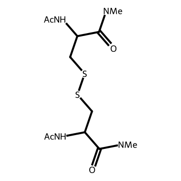 CNC(=O)C(CSSCC(NC(C)=O)C(=O)NC)NC(C)=O